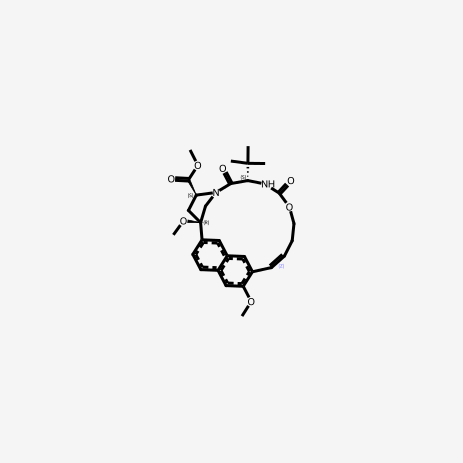 COC(=O)[C@@H]1C[C@]2(OC)CN1C(=O)[C@H](C(C)(C)C)NC(=O)OCC/C=C\c1cc3cc2ccc3cc1OC